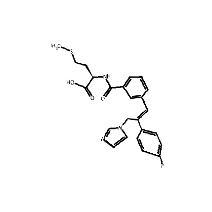 CSCC[C@@H](NC(=O)c1cccc(C=C(Cn2ccnc2)c2ccc(F)cc2)c1)C(=O)O